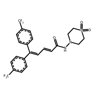 O=C(C=CC=C(c1ccc(C(F)(F)F)cc1)c1ccc(C(F)(F)F)cc1)NN1CCS(=O)(=O)CC1